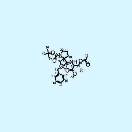 COC(=O)[C@@H](NC(=O)C1(COCc2ccccc2)CCCN1C(=O)OC(C)(C)C)[C@@H](C)OC(C)=O